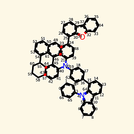 c1ccc(-n2c3ccccc3c3cccc(-c4ccc(N(c5ccc(-c6cccc7c6oc6ccccc67)cc5)c5ccccc5-c5cccc6cccc(C7CCCCC7)c56)cc4)c32)cc1